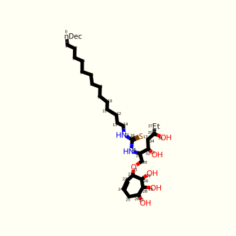 CCCCCCCCCCCCCCCCCCCCCCCCNC(=S)NC(COC1C=CCC(O)C(O)C1O)C(O)CC(O)CC